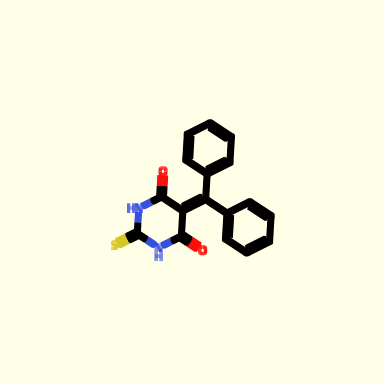 O=C1NC(=S)NC(=O)C1=C(c1ccccc1)c1ccccc1